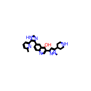 Cc1cccc(-c2[nH]cnc2-c2ccc3ncc(-c4cc(C5CCNCC5)n(C)n4)c(O)c3c2)n1